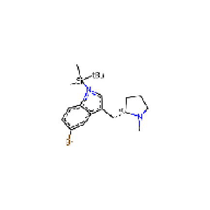 CN1CCC[C@H]1Cc1cn([Si](C)(C)C(C)(C)C)c2ccc(Br)cc12